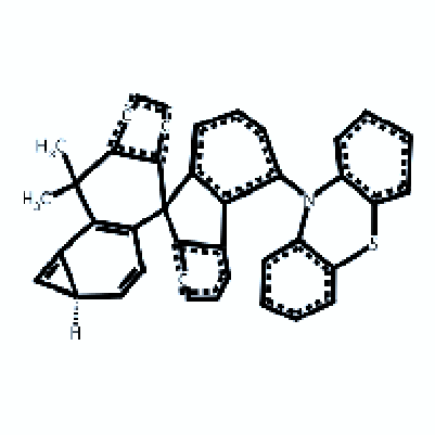 CC1(C)C2=C(C=C[C@H]3C=C23)C2(c3ccccc3-c3c(N4c5ccccc5Sc5ccccc54)cccc32)c2ccccc21